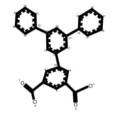 O=C(Cl)c1cc(C(=O)Cl)cc(-c2cc(-c3ccccc3)cc(-c3ccccc3)c2)c1